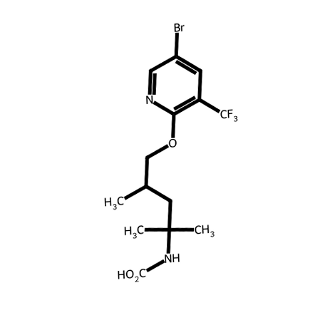 CC(COc1ncc(Br)cc1C(F)(F)F)CC(C)(C)NC(=O)O